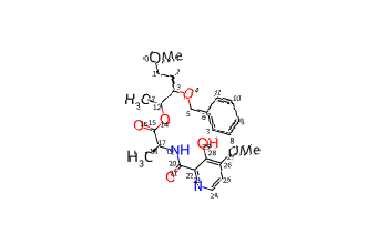 COCC[C@@H](OCc1ccccc1)[C@H](C)OC(=O)[C@H](C)NC(=O)c1nccc(OC)c1O